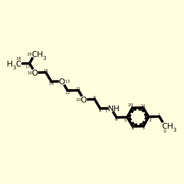 CCc1ccc(CNCCOCCOCCOC(C)C)cc1